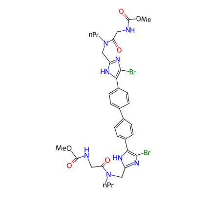 CCCN(Cc1nc(Br)c(-c2ccc(-c3ccc(-c4[nH]c(CN(CCC)C(=O)CNC(=O)OC)nc4Br)cc3)cc2)[nH]1)C(=O)CNC(=O)OC